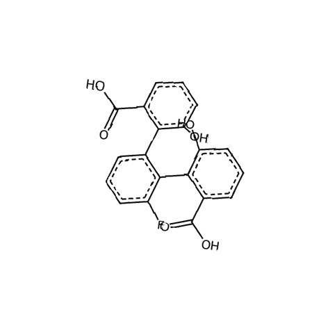 O=C(O)c1cccc(O)c1-c1cccc(F)c1-c1c(O)cccc1C(=O)O